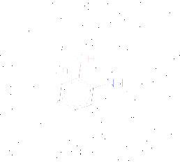 Nc1ccccc1O.[Zn]